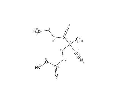 CCSC(=S)C(C)(C#N)CCC(=O)OS